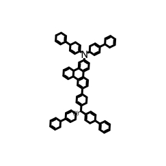 C1=CCC(C2=CCC(N(C3=CCC(C4=CCCC=C4)C=C3)c3ccc4c(c3)C3C=CC=CC3c3cc(C5=CC=C(C(C6=CCC(c7ccccc7)C=C6)[C@H]6C=CC(C7C=CC=CC7)=CC6)CC5)ccc3-4)C=C2)C=C1